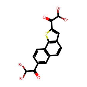 O=C(c1ccc2c(ccc3cc(C(=O)C(Br)Br)sc32)c1)C(Br)Br